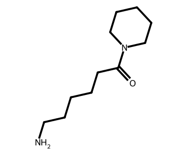 NCCCCCC(=O)N1CCCCC1